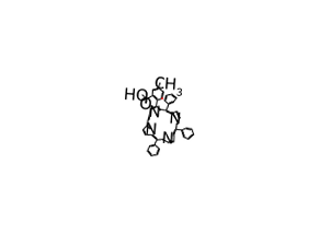 Cc1ccc(C2=CC3=CC4=NC(=C(c5ccccc5)C5=NC(=C(c6ccccc6)C6=NC(=C(c7ccccc7)C2=N3)C=C6)C=C5)C=C4)c(C(=O)O)c1